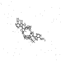 CC1[C@H]2OP(O)(=S)OC[C@H]3O[C@@H](n4cnc5c(N)ncnc54)C(O[Si](C)(C)C(C)(C)C)[C@H]3OP(O)(=S)OC[C@H]1O[C@H]2n1c(=O)[nH]c2c(N)ncnc21